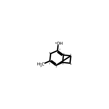 CC1=C2C3CC2C3=C(O)C1